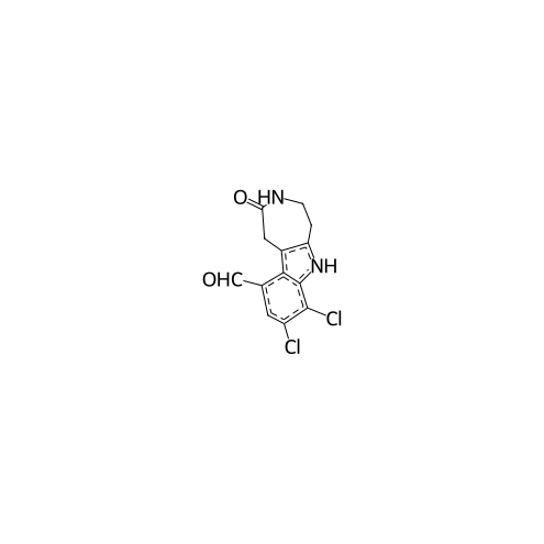 O=Cc1cc(Cl)c(Cl)c2[nH]c3c(c12)CC(=O)NCC3